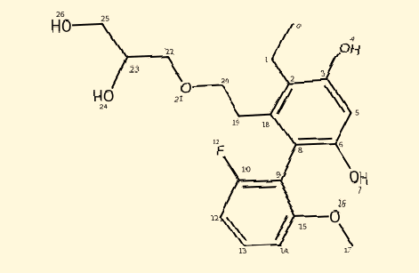 CCc1c(O)cc(O)c(-c2c(F)[c]ccc2OC)c1CCOCC(O)CO